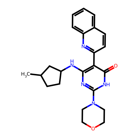 CC1CCC(Nc2nc(N3CCOCC3)[nH]c(=O)c2-c2ccc3ccccc3n2)C1